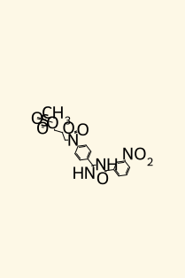 CS(=O)(=O)OCC1CN(c2ccc(C(=N)NC(=O)c3cccc([N+](=O)[O-])c3)cc2)C(=O)O1